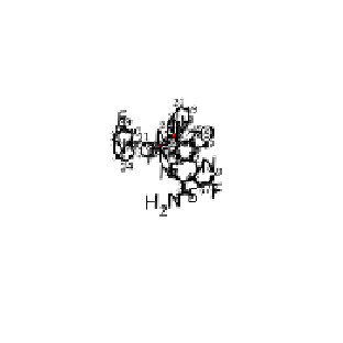 N#Cc1c(N)sc2c(F)cnc(-c3c4c(c5c(N6C7CCC6CN(CCF)C7)nc(OC[C@@]67CCCN6C[C@H](F)C7)nc5c3F)COC4)c12